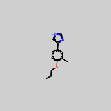 CCCOc1ccc(-c2c[nH]cn2)cc1C